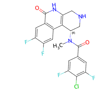 CN(C(=O)c1cc(F)c(Cl)c(F)c1)[C@H]1CNCc2[nH]c(=O)c3cc(F)c(F)cc3c21